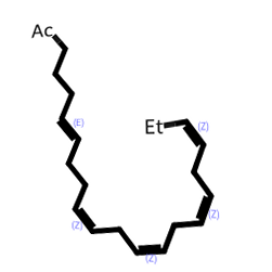 CC/C=C\C/C=C\C/C=C\C/C=C\CC/C=C/CCCC(C)=O